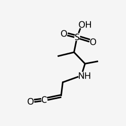 CC(NCC=C=O)C(C)S(=O)(=O)O